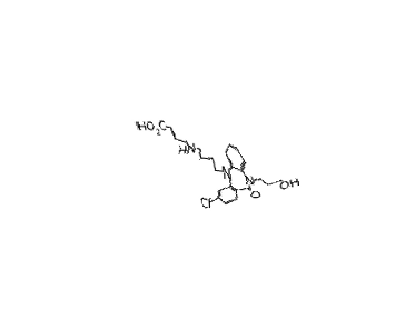 O=C(O)/C=C/CNCCCCN1c2cc(Cl)ccc2C(=O)N(CCCO)c2ccccc21